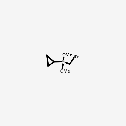 CO[Si](CC(C)C)(OC)C1CC1